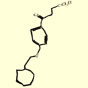 CCOC(=O)CCC(=O)c1ccc(OCC2CCCCC2)cc1